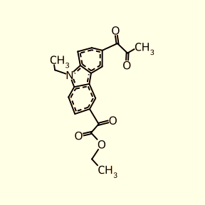 CCOC(=O)C(=O)c1ccc2c(c1)c1cc(C(=O)C(C)=O)ccc1n2CC